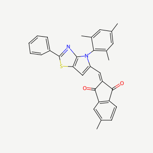 Cc1cc(C)c(-n2c(/C=C3/C(=O)c4ccc(C)cc4C3=O)cc3sc(-c4ccccc4)nc32)c(C)c1